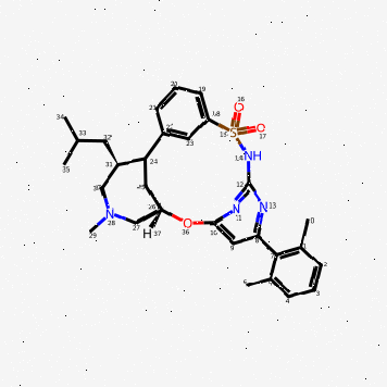 Cc1cccc(C)c1-c1cc2nc(n1)NS(=O)(=O)c1cccc(c1)C1C[C@@H](CN(C)C[C@H]1CC(C)C)O2